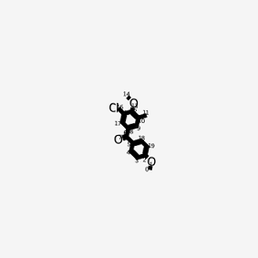 COc1ccc(C(=O)c2cc(C)c(OC)c(Cl)c2)cc1